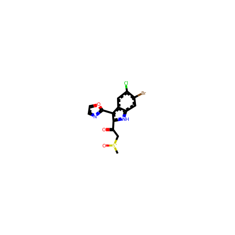 C[S+]([O-])CC(=O)c1[nH]c2cc(Br)c(Cl)cc2c1-c1ncco1